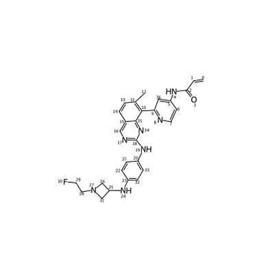 C=CC(=O)Nc1ccnc(-c2c(C)ccc3cnc(Nc4ccc(NC5CN(CCF)C5)cc4)nc23)c1